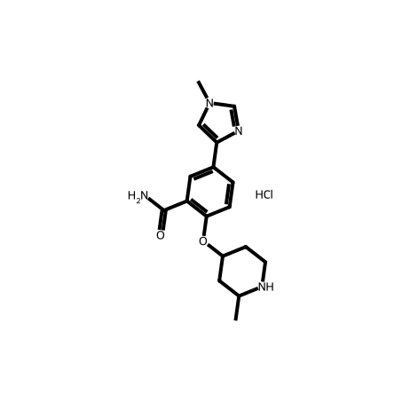 CC1CC(Oc2ccc(-c3cn(C)cn3)cc2C(N)=O)CCN1.Cl